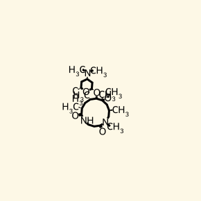 CO[C@]1(C)C[C@@H](C)CN(C)C(=O)CCNC(=O)[C@H](C)C[C@H](C)C1O[C@H]1C[C@@H](N(C)C)C[C@@H](C)O1